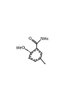 CNC(=O)c1cc(C)ccc1OC